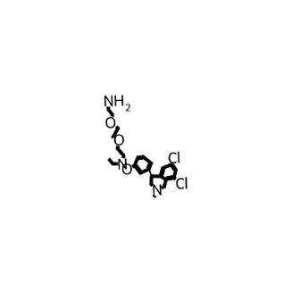 CCN(CCOCCOCCN)Oc1cccc([C@@H]2CN(C)Cc3c(Cl)cc(Cl)cc32)c1